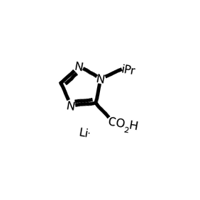 CC(C)n1ncnc1C(=O)O.[Li]